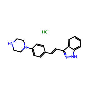 C(=Cc1n[nH]c2ccccc12)c1ccc(N2CCNCC2)cc1.Cl